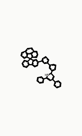 C1=C(c2ccccc2)C=C(c2ccccc2)NC1c1cccc(-c2cccc(-c3ccc4c(c3)C3(c5ccccc5-4)c4cccc5ccc6cccc3c6c45)c2)c1